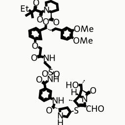 CCC(C)(C)C(=O)C(=O)N1CCCC[C@H]1C(=O)O[C@H](CCc1ccc(OC)c(OC)c1)c1cccc(OCC(=O)NCCS(=O)(=O)NC(=O)c2cccc(NC(=O)[C@@H]3C[C@H](SC4=C(C=O)N5C(=O)[C@H]([C@@H](C)O)[C@H]5[C@H]4C)CN3)c2)c1